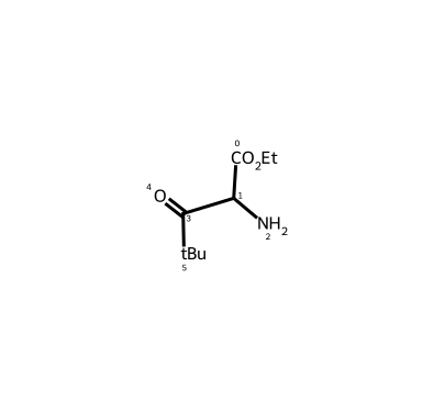 CCOC(=O)C(N)C(=O)C(C)(C)C